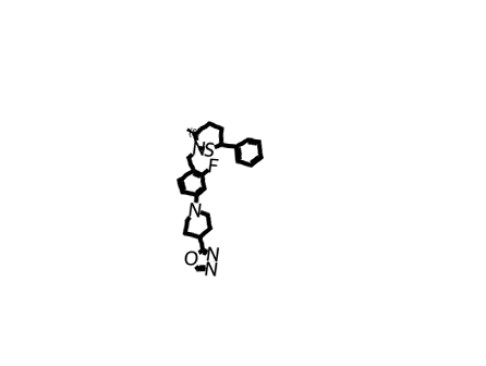 C[C@H]1CCC(c2ccccc2)SN1Cc1ccc(N2CCC(c3nnco3)CC2)cc1F